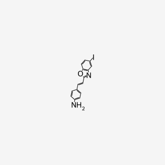 Nc1ccc(C=Cc2nc3cc(I)ccc3o2)cc1